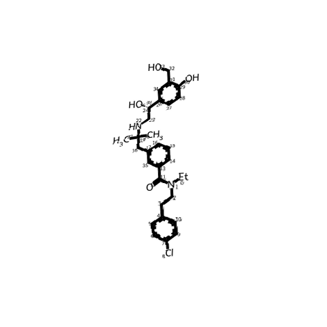 CCN(CCc1ccc(Cl)cc1)C(=O)c1cccc(CC(C)(C)NC[C@H](O)c2ccc(O)c(CO)c2)c1